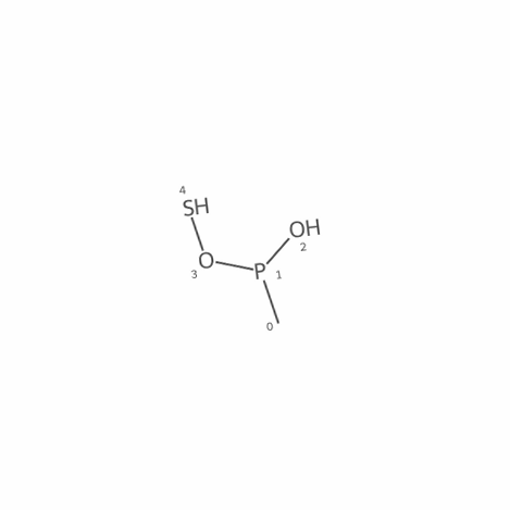 CP(O)OS